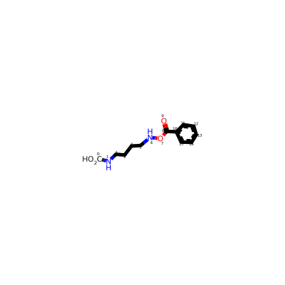 O=C(O)NCCCCNOC(=O)c1ccccc1